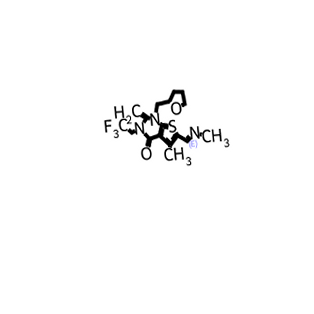 C=C1N(CC(F)(F)F)C(=O)c2c(sc(/C=N/C)c2C)N1CC1CCCO1